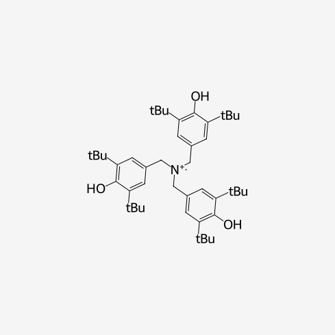 CC(C)(C)c1cc(C[N+](Cc2cc(C(C)(C)C)c(O)c(C(C)(C)C)c2)Cc2cc(C(C)(C)C)c(O)c(C(C)(C)C)c2)cc(C(C)(C)C)c1O